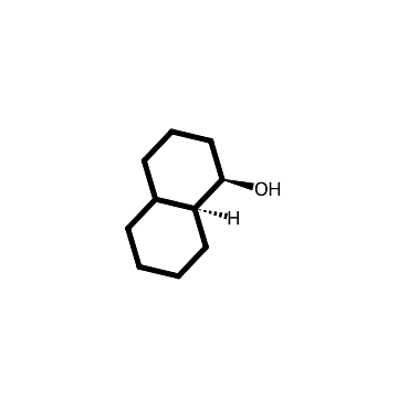 O[C@@H]1CCCC2CCCC[C@@H]21